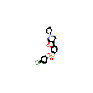 O=S(=O)(Oc1ccc2c(c1)OC1CN(C3CCCC3)CCC21)c1ccc(Cl)cc1